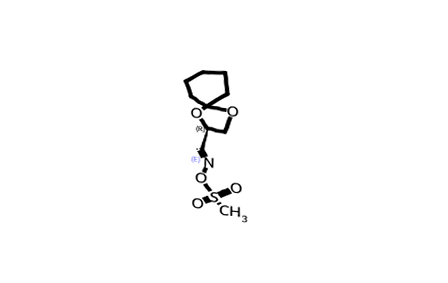 CS(=O)(=O)O/N=[C]/[C@@H]1COC2(CCCCC2)O1